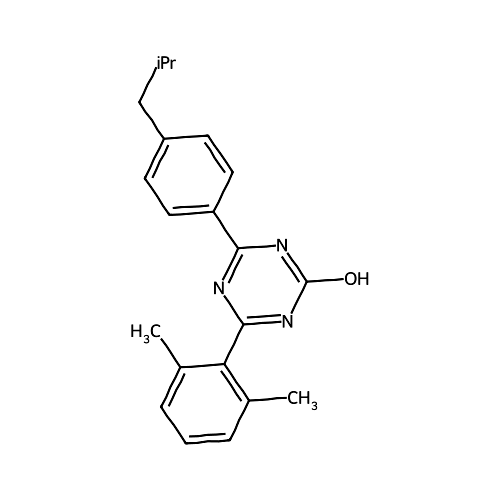 Cc1cccc(C)c1-c1nc(O)nc(-c2ccc(CC(C)C)cc2)n1